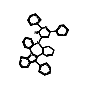 C1=CC2=C(CC1)N(C1=CC(c3ccccc3)=NC(c3ccccc3)N1)c1ccccc1-n1c2c(-c2ccccc2)c2ccccc21